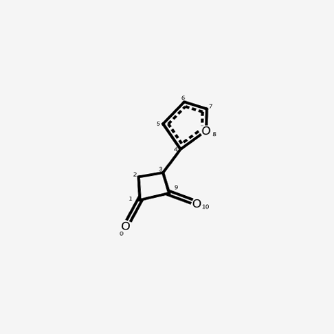 O=C1CC(c2ccco2)C1=O